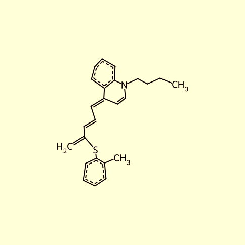 C=C(C=CC=C1C=CN(CCCC)c2ccccc21)Sc1ccccc1C